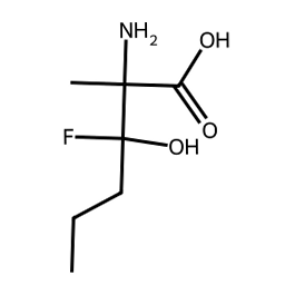 CCCC(O)(F)C(C)(N)C(=O)O